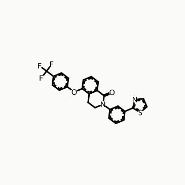 O=C1c2cccc(Oc3ccc(C(F)(F)F)cc3)c2CCN1c1cccc(-c2nccs2)c1